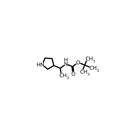 CC(NC(=O)OC(C)(C)C)C1CCNC1